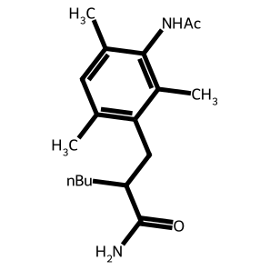 CCCCC(Cc1c(C)cc(C)c(NC(C)=O)c1C)C(N)=O